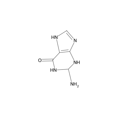 NC1NC(=O)c2[nH]cnc2N1